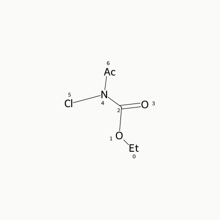 [CH2]COC(=O)N(Cl)C(C)=O